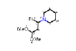 [CH2]CC(CC(OC)OC)N1CCCCC1